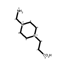 NCN1CCN(CCC(=O)O)CC1